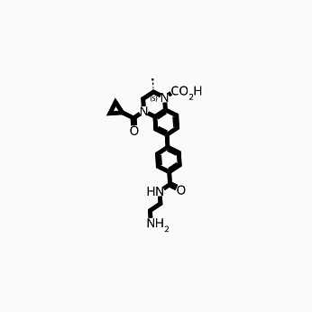 C[C@H]1CN(C(=O)C2CC2)c2cc(-c3ccc(C(=O)NCCN)cc3)ccc2N1C(=O)O